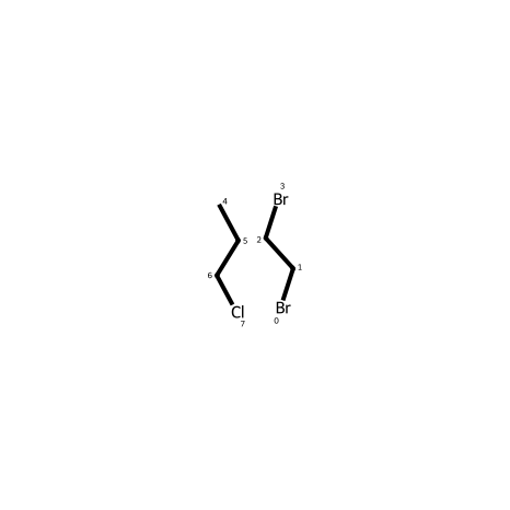 BrCCBr.CCCCl